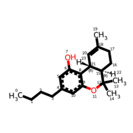 CCCCc1cc(O)c2c(c1)OC(C)(C)[C@@H]1CCC(C)=C[C@@H]21